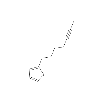 CC#CCCCCc1cccs1